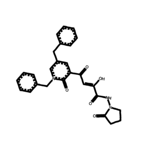 O=C(NN1CCCC1=O)/C(O)=C/C(=O)c1cc(Cc2ccccc2)cn(Cc2ccccc2)c1=O